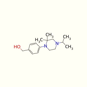 CC(C)N1CCN(c2ccc(CO)cc2)C(C)(C)C1